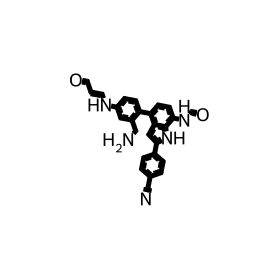 N#Cc1ccc(-c2cc3c(-c4ccc(NC=CC=O)cc4CN)ccc(NC=O)c3[nH]2)cc1